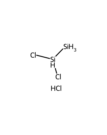 Cl.[SiH3][SiH](Cl)Cl